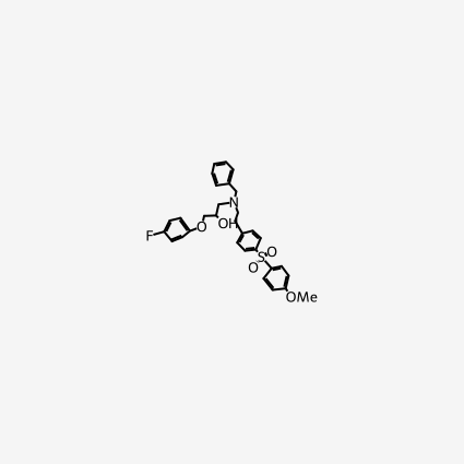 COc1ccc(S(=O)(=O)c2ccc(CCN(Cc3ccccc3)CC(O)COc3ccc(F)cc3)cc2)cc1